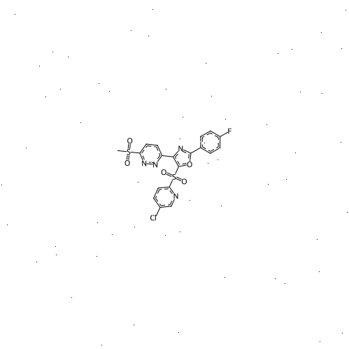 CS(=O)(=O)c1ccc(-c2nc(-c3ccc(F)cc3)oc2S(=O)(=O)c2ccc(Cl)cn2)nn1